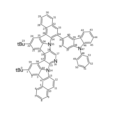 CC(C)(C)c1cc2c3c4ccccc4ccc3n3c4ncc5c(c6cc(C(C)(C)C)cc7c8c9ccccc9cc(-c9ccc%10c(c9)c9ccccc9n%10-c9ccccc9)c8n5c67)c4c(c1)c23